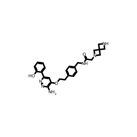 Nc1nnc(-c2ccccc2O)cc1OCCc1ccc(CNC(=O)CN2CC3(CNC3)C2)cc1